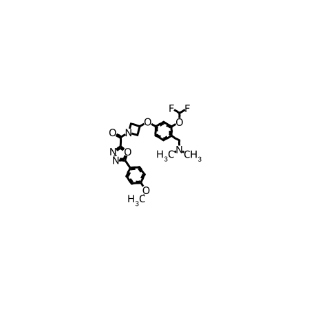 COc1ccc(-c2nnc(C(=O)N3CC(Oc4ccc(CN(C)C)c(OC(F)F)c4)C3)o2)cc1